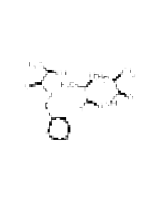 C=C(C)C(=O)O.C=C(C)C(=O)O.C=C(C)C(=O)OCc1ccccc1